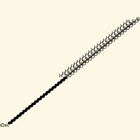 CCCCCCCCCCCCCCCCCCCCCCCCCCCCCCCCCCCCCCCCCCCCCCCCCC[SiH2]O[SiH2]O[SiH2]O[SiH2]O[SiH2]O[SiH2]O[SiH2]O[SiH2]O[SiH2]O[SiH2]O[SiH2]O[SiH2]O[SiH2]O[SiH2]O[SiH2]O[SiH2]O[SiH2]O[SiH2]O[SiH2]O[SiH2]O[SiH2]O[SiH2]O[SiH2]O[SiH2]O[SiH3]